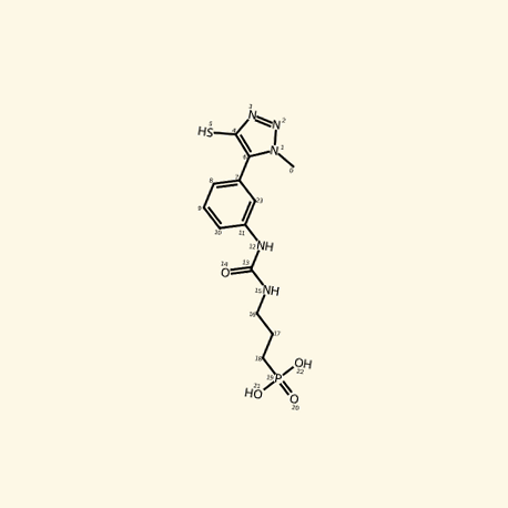 Cn1nnc(S)c1-c1cccc(NC(=O)NCCCP(=O)(O)O)c1